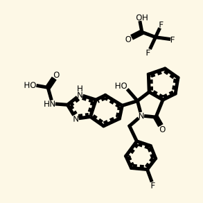 O=C(O)C(F)(F)F.O=C(O)Nc1nc2ccc(C3(O)c4ccccc4C(=O)N3Cc3ccc(F)cc3)cc2[nH]1